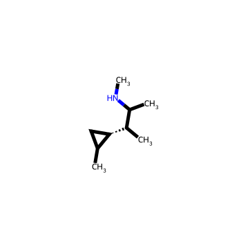 CNC(C)C(C)[C@H]1CC1C